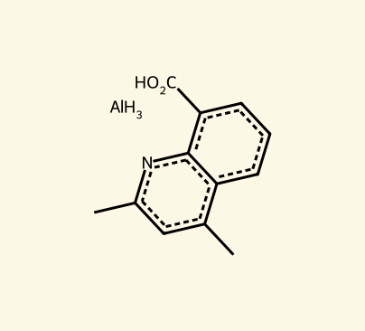 Cc1cc(C)c2cccc(C(=O)O)c2n1.[AlH3]